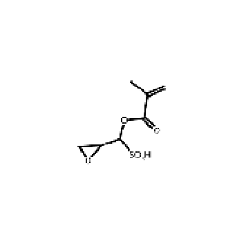 C=C(C)C(=O)OC(C1CO1)S(=O)(=O)O